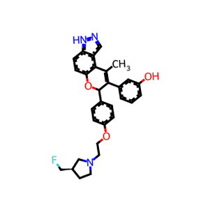 CC1=C(c2cccc(O)c2)C(c2ccc(OCCN3CC[C@@H](CF)C3)cc2)Oc2ccc3[nH]ncc3c21